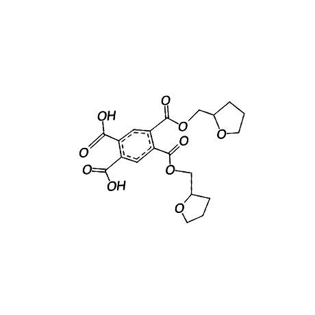 O=C(O)c1cc(C(=O)OCC2CCCO2)c(C(=O)OCC2CCCO2)cc1C(=O)O